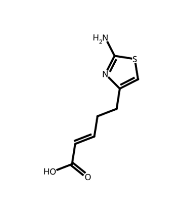 Nc1nc(CCC=CC(=O)O)cs1